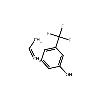 C=CC.Oc1cccc(C(F)(F)F)c1